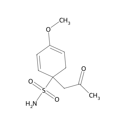 COC1=CCC(CC(C)=O)(S(N)(=O)=O)C=C1